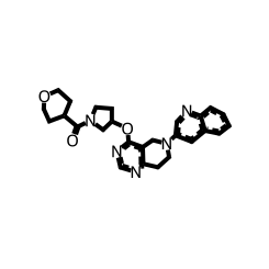 O=C(C1CCOCC1)N1CCC(Oc2ncnc3c2CN(c2cnc4ccccc4c2)CC3)C1